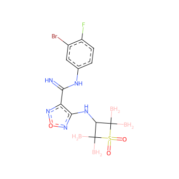 BC1(B)C(Nc2nonc2C(=N)Nc2ccc(F)c(Br)c2)C(B)(B)S1(=O)=O